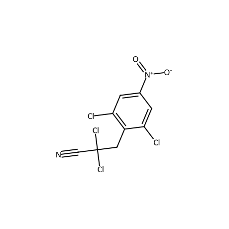 N#CC(Cl)(Cl)Cc1c(Cl)cc([N+](=O)[O-])cc1Cl